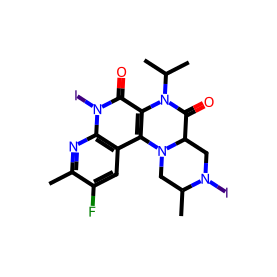 Cc1nc2c(cc1F)c1c(c(=O)n2I)N(C(C)C)C(=O)C2CN(I)C(C)CN12